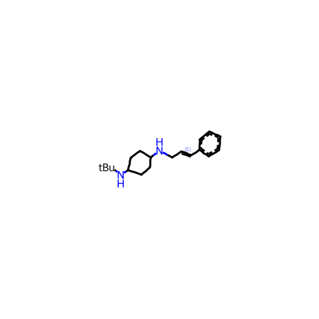 CC(C)(C)NC1CCC(NC/C=C/c2ccccc2)CC1